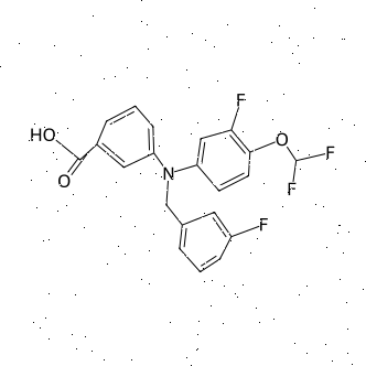 O=C(O)c1cccc(N(Cc2cccc(F)c2)c2ccc(OC(F)F)c(F)c2)c1